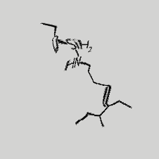 CCO[SiH2]NCCC=C(C)C(C)CC